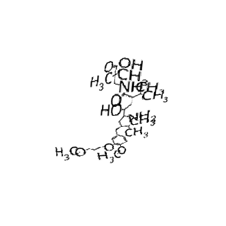 COCCCOc1cc(C[C@@H](C[C@H](N)[C@@H](O)C[C@H](C(=O)NCC(C)(C)C(=O)O)C(C)C)C(C)C)ccc1OC